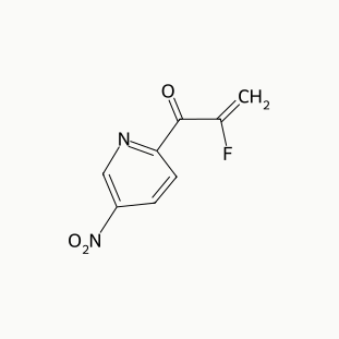 C=C(F)C(=O)c1ccc([N+](=O)[O-])cn1